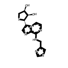 O[C@@H]1[C@H](O)CS[C@H]1c1cnc2c(NCc3cscn3)nccn12